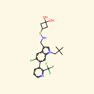 CC(C)(C)Cn1cc(CNSC2CC(O)(O)C2)c2cc(F)c(-c3cccnc3C(F)(F)F)cc21